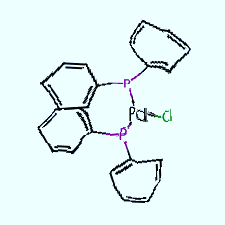 [Cl][Pd-]([P](c1ccccc1)c1ccccc1)[P](c1ccccc1)c1ccccc1